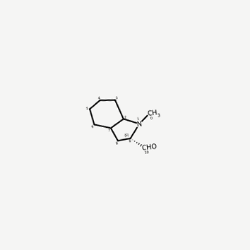 CN1C2CCCCC2C[C@H]1C=O